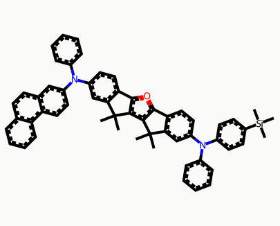 CC1(C)c2cc(N(c3ccccc3)c3ccc([Si](C)(C)C)cc3)ccc2-c2oc3c(c21)C(C)(C)c1cc(N(c2ccccc2)c2ccc4c(ccc5ccccc54)c2)ccc1-3